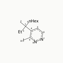 CCCCCCC(C)(CC)c1ccnnc1I